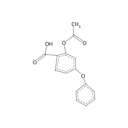 CC(=O)Oc1cc(Oc2ccccc2)ccc1C(=O)O